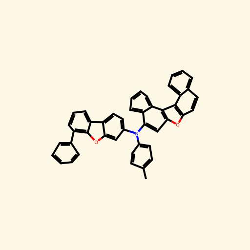 Cc1ccc(N(c2ccc3c(c2)oc2c(-c4ccccc4)cccc23)c2cc3oc4ccc5ccccc5c4c3c3ccccc23)cc1